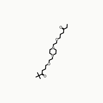 CCC(=O)CCCOCCN1CCN(CCOCCCC(=O)C(C)(C)C)CC1